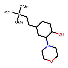 CO[Si](CCC1CCC(O)C(N2CCOCC2)C1)(OC)OC